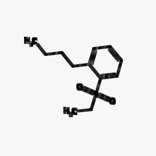 CCCCc1ccccc1S(=O)(=O)CC